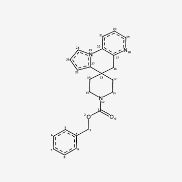 O=C(OCc1ccccc1)N1CCC2(CC1)Cc1ncccc1-n1cccc12